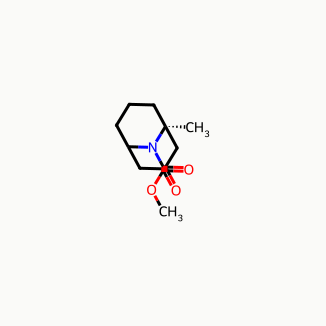 COC(=O)N1C2CCC[C@@]1(C)CC(=O)C2